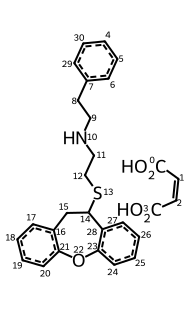 O=C(O)/C=C\C(=O)O.c1ccc(CCNCCSC2Cc3ccccc3Oc3ccccc32)cc1